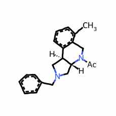 CC(=O)N1Cc2c(C)cccc2[C@@H]2CN(Cc3ccccc3)C[C@H]21